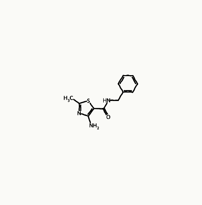 Cc1nc(N)c(C(=O)NCc2ccccc2)s1